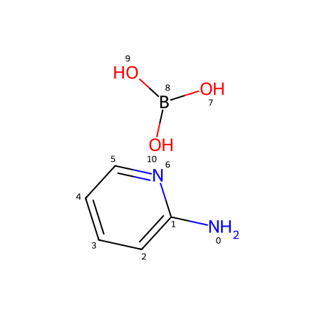 Nc1ccccn1.OB(O)O